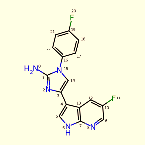 Nc1nc(-c2c[nH]c3ncc(F)cc23)cn1-c1ccc(F)cc1